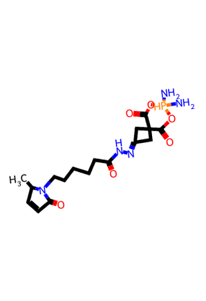 CC1C=CC(=O)N1CCCCCC(=O)NN=C1CC2(C1)C(=O)O[PH](N)(N)OC2=O